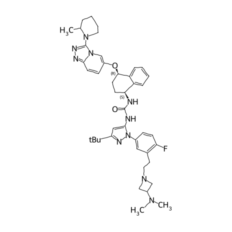 CC1CCCCN1c1nnc2ccc(O[C@@H]3CC[C@H](NC(=O)Nc4cc(C(C)(C)C)nn4-c4ccc(F)c(CCN5CC(N(C)C)C5)c4)c4ccccc43)cn12